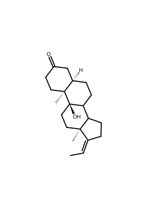 C/C=C1/CCC2C3CC[C@@H]4CC(=O)CC[C@]4(C)[C@@]3(O)CC[C@]12C